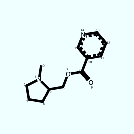 CN1CCCC1COC(=O)c1cccnc1